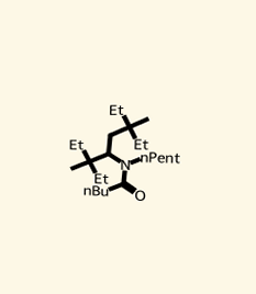 CCCCCN(C(=O)CCCC)C(CC(C)(CC)CC)C(C)(CC)CC